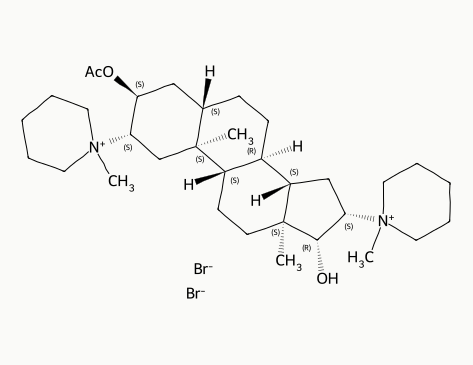 CC(=O)O[C@H]1C[C@@H]2CC[C@@H]3[C@H](CC[C@]4(C)[C@@H](O)[C@@H]([N+]5(C)CCCCC5)C[C@@H]34)[C@@]2(C)C[C@@H]1[N+]1(C)CCCCC1.[Br-].[Br-]